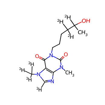 [2H]c1nc2c(c(=O)n(CCCC([2H])([2H])C([2H])(C)O)c(=O)n2C)n1C([2H])([2H])[2H]